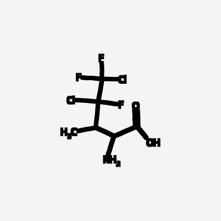 CC(C(N)C(=O)O)C(F)(Cl)C(F)(F)Cl